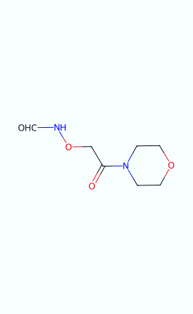 O=CNOCC(=O)N1CCOCC1